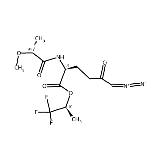 CO[C@H](C)C(=O)N[C@@H](CCC(=O)C=[N+]=[N-])C(=O)O[C@@H](C)C(F)(F)F